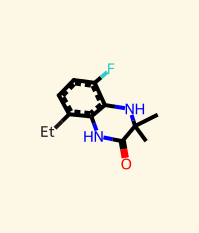 CCc1ccc(F)c2c1NC(=O)C(C)(C)N2